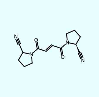 N#CC1CCCN1C(=O)/C=C/C(=O)N1CCC[C@H]1C#N